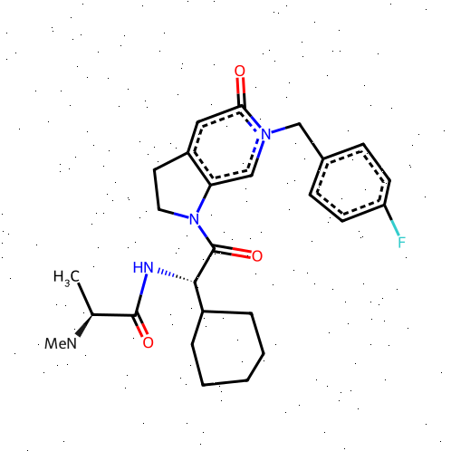 CN[C@@H](C)C(=O)N[C@H](C(=O)N1CCc2cc(=O)n(Cc3ccc(F)cc3)cc21)C1CCCCC1